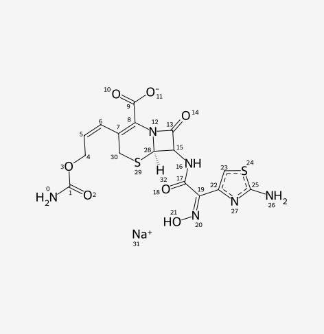 NC(=O)OC/C=C\C1=C(C(=O)[O-])N2C(=O)C(NC(=O)/C(=N\O)c3csc(N)n3)[C@H]2SC1.[Na+]